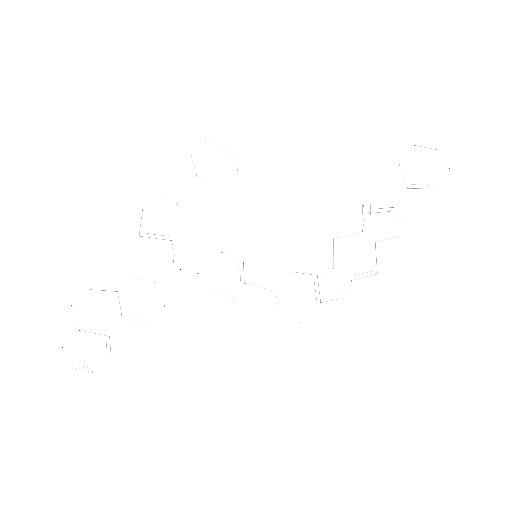 c1ccc(-c2cccc(N(c3ccc(-c4ccc5oc6cc7oc(-c8ccccc8)nc7cc6c5c4)cc3)c3ccc4c(ccc5ccccc54)c3)c2)cc1